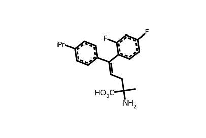 CC(C)c1ccc(C(=CCC(C)(N)C(=O)O)c2ccc(F)cc2F)cc1